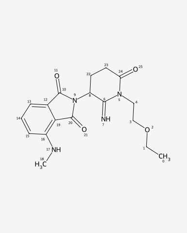 CCOCCN1C(=N)C(N2C(=O)c3cccc(NC)c3C2=O)CCC1=O